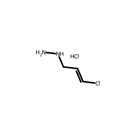 Cl.NNCC=CCl